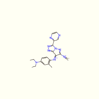 [C-]#[N+]C1=Nn2c(nnc2-c2cnccn2)/C1=N\c1ccc(N(CC)CC)cc1C